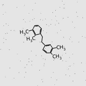 Cc1ccc([CH]Cc2cccc(C)c2C)cc1C